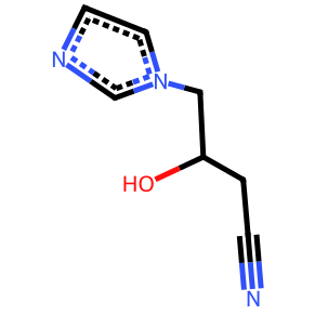 N#CCC(O)Cn1ccnc1